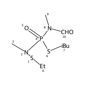 CCSN(C)P(=O)(SC(C)CC)N(C)C=O